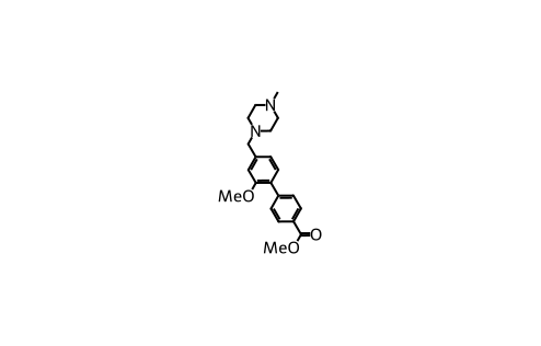 COC(=O)c1ccc(-c2ccc(CN3CCN(C)CC3)cc2OC)cc1